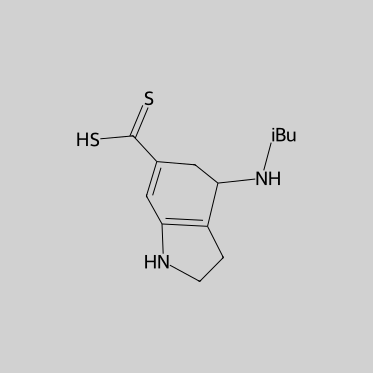 CCC(C)NC1CC(C(=S)S)=CC2=C1CCN2